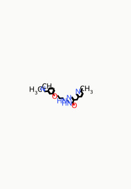 Cc1ccc(Cc2cnc(NCCCOc3cccc(CN(C)C)c3)[nH]c2=O)cn1